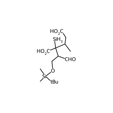 CC(CC(=O)O)C([SiH3])(C(=O)O)C(C=O)CO[Si](C)(C)C(C)(C)C